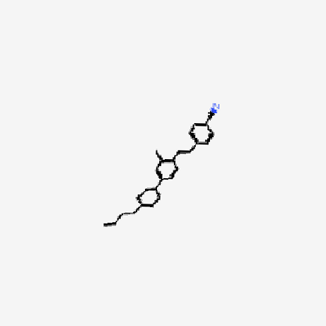 CCCCC1CCC(c2ccc(CCc3ccc(C#N)cc3)c(C)c2)CC1